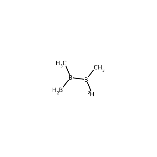 [2H]B(C)B(B)C